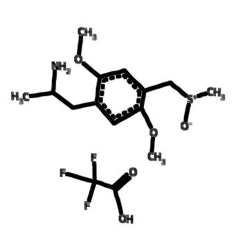 COc1cc(C[S+](C)[O-])c(OC)cc1CC(C)N.O=C(O)C(F)(F)F